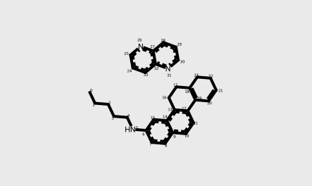 CCCCCNc1ccc2ccc3c(c2c1)CCC1=C3C=CCC1.c1cnc2cccnc2c1